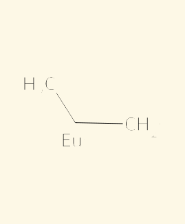 [CH2]CC.[Eu]